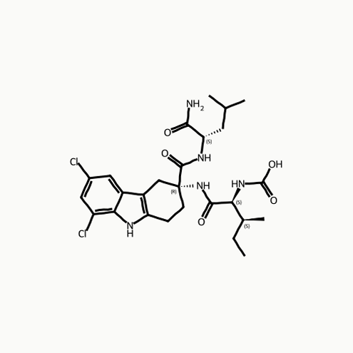 CC[C@H](C)[C@H](NC(=O)O)C(=O)N[C@]1(C(=O)N[C@@H](CC(C)C)C(N)=O)CCc2[nH]c3c(Cl)cc(Cl)cc3c2C1